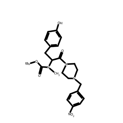 CN(C(=O)OC(C)(C)C)C(Cc1ccc(O)cc1)C(=O)N1CCN(Cc2ccc([N+](=O)[O-])cc2)CC1